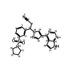 N#CCC(c1cccc(S(=O)(=O)N2CCCC2)c1)n1cc(-c2ncnc3[nH]ccc23)cn1